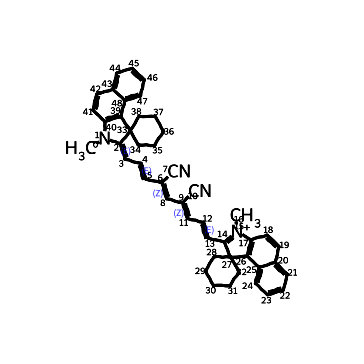 CN1/C(=C/C=C/C(C#N)=C/C(C#N)=C/C=C/C2=[N+](C)c3ccc4ccccc4c3C23CCCCC3)C2(CCCCC2)c2c1ccc1ccccc21